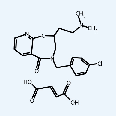 CN(C)CCC1Cc2ncccc2C(=O)N(Cc2ccc(Cl)cc2)C1.O=C(O)/C=C/C(=O)O